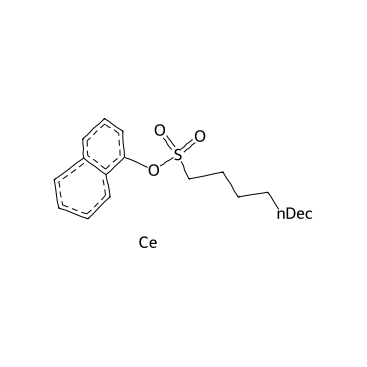 CCCCCCCCCCCCCCS(=O)(=O)Oc1cccc2ccccc12.[Ce]